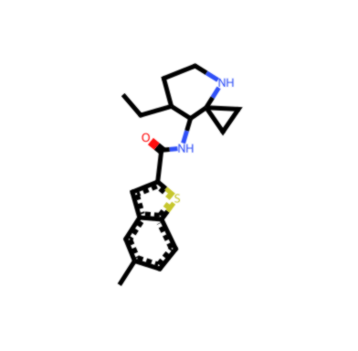 CCC1CCNC2(CC2)C1NC(=O)c1cc2cc(C)ccc2s1